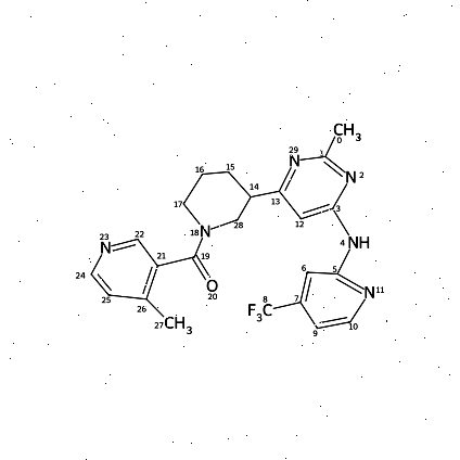 Cc1nc(Nc2cc(C(F)(F)F)ccn2)cc(C2CCCN(C(=O)c3cnccc3C)C2)n1